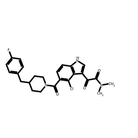 CN(C)C(=O)C(=O)c1c[nH]c2ccc(C(=O)N3CCC(Cc4ccc(F)cc4)CC3)c(Cl)c12